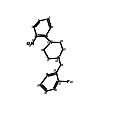 O=[N+]([O-])c1[c]cccc1N1CCN(Cc2ccccc2F)CC1